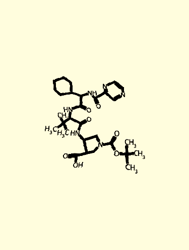 CC(C)(C)OC(=O)N1CC(NC(=O)C(NC(=O)C(NC(=O)c2cnccn2)C2CCCCC2)C(C)(C)C)C(C(=O)O)C1